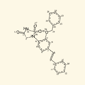 O=C1CN(c2ccc(C=Cc3ccccc3)cc2OCc2ccccc2)S(=O)(=O)N1